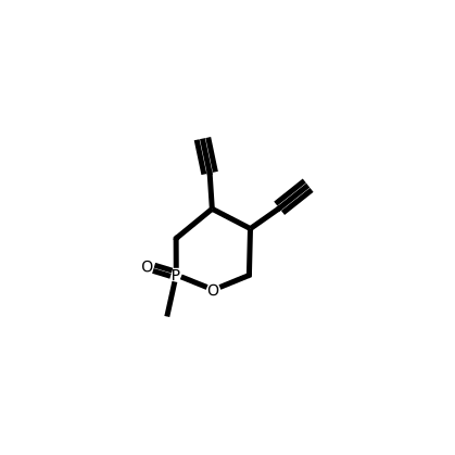 C#CC1COP(C)(=O)CC1C#C